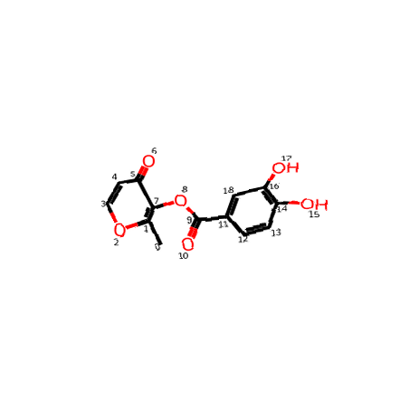 Cc1occc(=O)c1OC(=O)c1ccc(O)c(O)c1